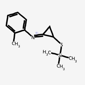 Cc1ccccc1/N=C1\CC1S[Si](C)(C)C